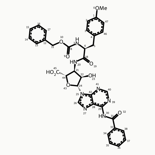 COc1ccc(C[C@H](NC(=O)OCc2ccccc2)C(=O)N[C@H]2[C@@H](O)[C@H](n3cnc4c(NC(=O)c5ccccc5)ncnc43)O[C@@H]2C(=O)O)cc1